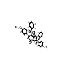 COc1ccc([C@@H]2CC(=O)[C@@H]3CC(S(=O)(=O)c4ccc(C)cc4)[C@H](c4ccccc4)C[C@@H]3C2S(=O)(=O)c2ccccc2)cc1